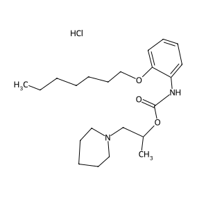 CCCCCCCOc1ccccc1NC(=O)OC(C)CN1CCCCC1.Cl